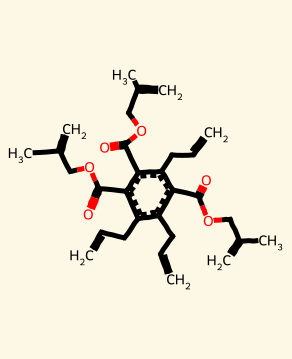 C=CCc1c(CC=C)c(C(=O)OCC(=C)C)c(C(=O)OCC(=C)C)c(CC=C)c1C(=O)OCC(=C)C